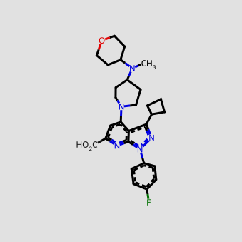 CN(C1CCOCC1)C1CCN(c2cc(C(=O)O)nc3c2c(C2CCC2)nn3-c2ccc(F)cc2)CC1